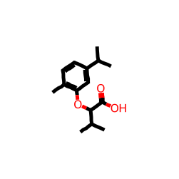 Cc1ccc(C(C)C)cc1OC(C(=O)O)C(C)C